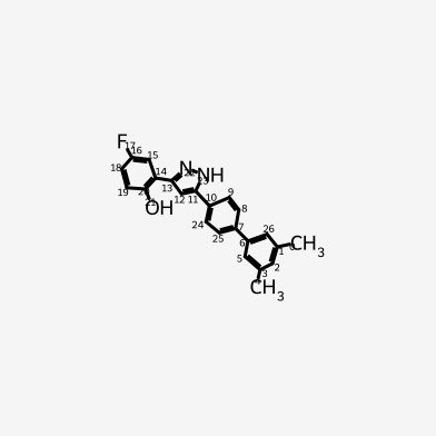 Cc1cc(C)cc(-c2ccc(-c3cc(-c4cc(F)ccc4O)n[nH]3)cc2)c1